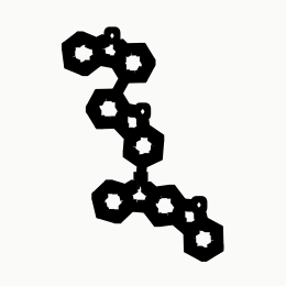 c1ccc2c(c1)oc1cc3c(cc12)c1ccccc1n3-c1ccc2oc3c(-c4cccc5oc6ccccc6c45)cccc3c2c1